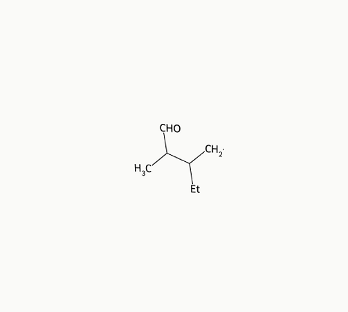 [CH2]C(CC)C(C)C=O